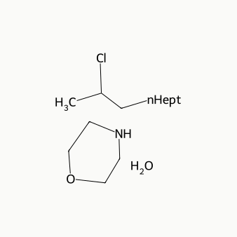 C1COCCN1.CCCCCCCCC(C)Cl.O